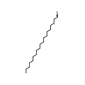 CCCCCCCCCCCCCCCCCC[C]=S